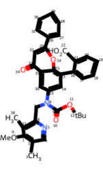 COc1c(C)cnc(CN(C(=O)OC(C)(C)C)c2cc(-c3ccccc3C(=O)O)c3oc(-c4ccccc4)cc(=O)c3c2)c1C